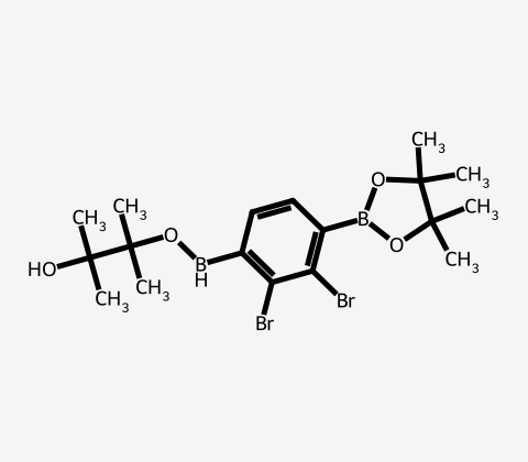 CC(C)(O)C(C)(C)OBc1ccc(B2OC(C)(C)C(C)(C)O2)c(Br)c1Br